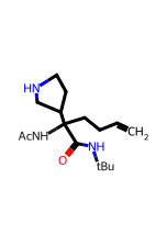 C=CCCC(NC(C)=O)(C(=O)NC(C)(C)C)C1CCNC1